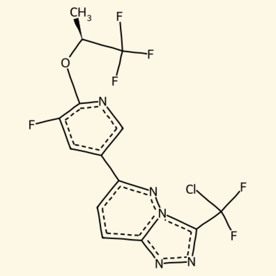 C[C@H](Oc1ncc(-c2ccc3nnc(C(F)(F)Cl)n3n2)cc1F)C(F)(F)F